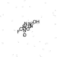 COCCn1c(=O)c2c(-c3nc(C(C)(C)O)no3)ncn2c2ccc(F)cc21